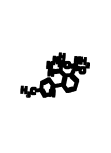 Cc1ccc(-c2cccc(S(N)(=O)=O)c2-c2nnn[nH]2)nc1